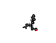 C=C/C=C(\C=C)c1cccc(-c2nc(-c3cccc(-c4ccccc4)c3)nc(-c3ccc4c(c3)oc3c5c(ccc34)-c3ccccc3C5(C)C)n2)c1